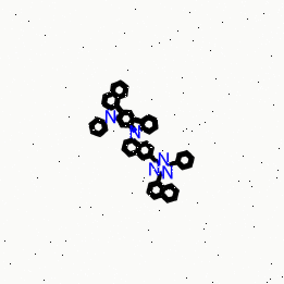 c1ccc(-c2nc(-c3ccc4c(-n5c6ccccc6c6cc7c8c9ccccc9ccc8n(-c8ccccc8)c7cc65)cccc4c3)nc(-c3cccc4ccccc34)n2)cc1